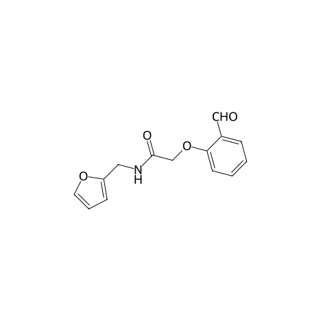 O=Cc1ccccc1OCC(=O)NCc1ccco1